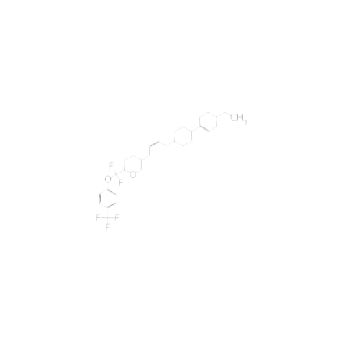 CCC1CC=C(C2CCC(C/C=C\CC3CCC(C(F)(F)Oc4ccc(C(F)(F)F)cc4)OC3)CC2)CC1